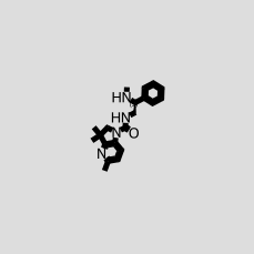 CN[C@H](CNC(=O)N1CC(C)(C)c2nc(C)ccc21)c1ccccc1